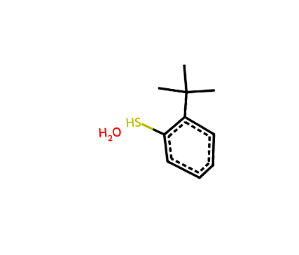 CC(C)(C)c1ccccc1S.O